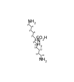 NC(=O)O.NCCCCCCCCCCCCN